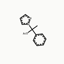 CC(=O)OC(C)(c1ccccc1)n1cccn1